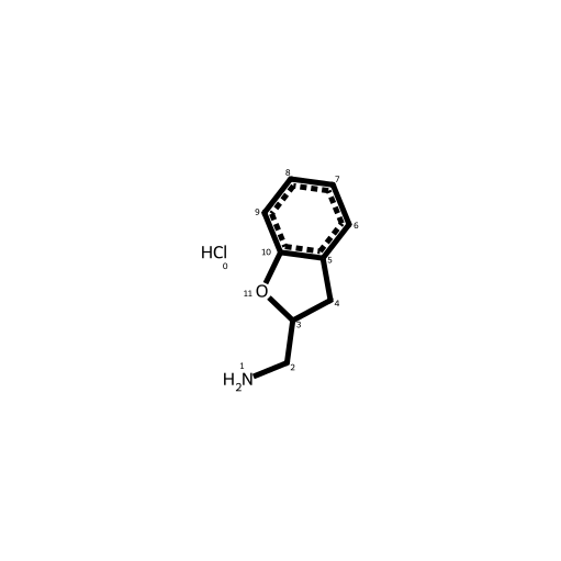 Cl.NCC1Cc2ccccc2O1